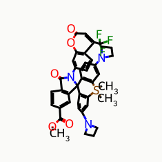 COC(=O)c1ccc2c(c1)C1(c3ccc(N4CCC4)cc3S(C)(C)c3cc(N4CCC4)ccc31)N(c1ccc3c(C(F)(F)F)cc(=O)oc3c1)C2=O